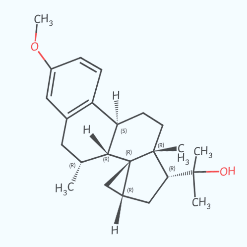 COc1ccc2c(c1)C[C@@H](C)[C@@H]1[C@@H]2CC[C@]2(C)[C@H](C(C)(C)O)C[C@@H]3C[C@@]312